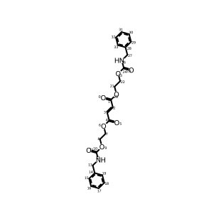 O=C(/C=C/C(=O)OCCOC(=O)NCc1ccccc1)OCCOC(=O)NCc1ccccc1